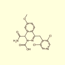 COc1ccc2c(c1)C(C(N)=O)N(C(=O)O)N=C2Cc1c(Cl)cncc1Cl